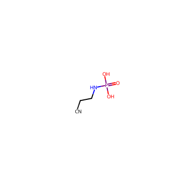 N#CCCNP(=O)(O)O